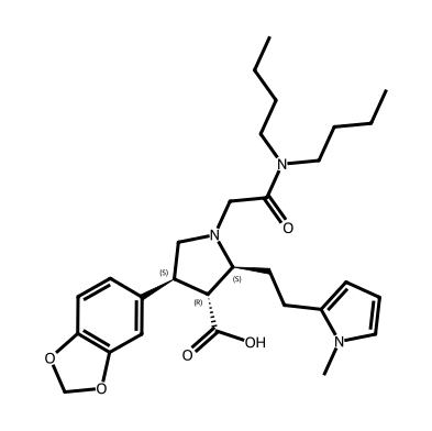 CCCCN(CCCC)C(=O)CN1C[C@H](c2ccc3c(c2)OCO3)[C@@H](C(=O)O)[C@@H]1CCc1cccn1C